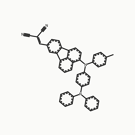 Cc1ccc(N(c2ccc(N(c3ccccc3)c3ccccc3)cc2)c2ccc3c4c(cccc24)-c2cc(C=C(C#N)C#N)ccc2-3)cc1